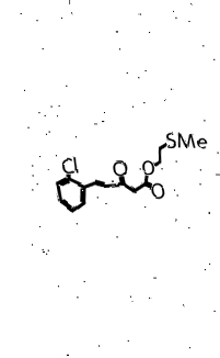 CSCCOC(=O)CC(=O)C=Cc1ccccc1Cl